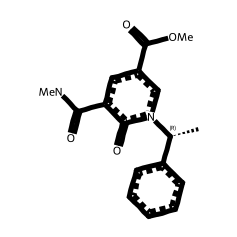 CNC(=O)c1cc(C(=O)OC)cn([C@H](C)c2ccccc2)c1=O